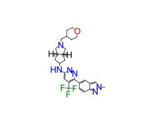 Cn1cc2cc(-c3nnc(NC4C[C@@H]5CN(CC6CCOCC6)C[C@@H]5C4)cc3C(F)(F)F)ccc2n1